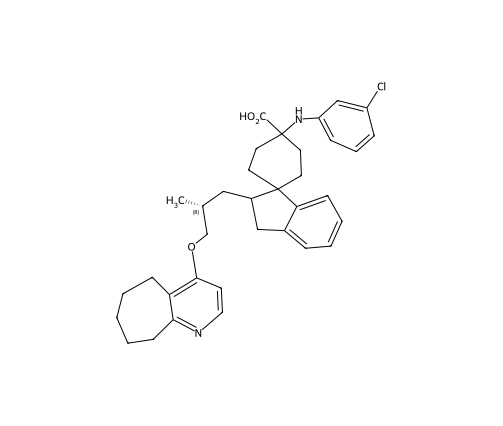 C[C@@H](COc1ccnc2c1CCCCC2)CC1Cc2ccccc2C12CCC(Nc1cccc(Cl)c1)(C(=O)O)CC2